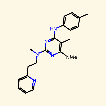 CNc1nc(N(C)CCc2ccccn2)nc(Nc2ccc(C)cc2)c1C